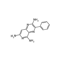 Nc1cc2nc(N)c(-c3ccccc3)nc2c(N)n1